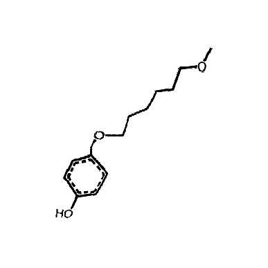 COCCCCCCOc1ccc(O)cc1